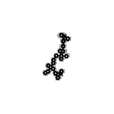 c1ccc(-c2c3c(c(-c4cccc(-c5ccc6cc(-c7c8ccccc8c(-c8ccc9ccccc9c8)c8cc(-c9ccc%10c%11ccccc%11c%11nc%12ccccc%12n%11c%10c9)ccc78)ccc6c5)c4)c4ccccc24)-c2cccc4c(-c5ccc(-c6ccc7c(c6)c6ccccc6c6nc8ccccc8n76)cc5)ccc-3c24)cc1